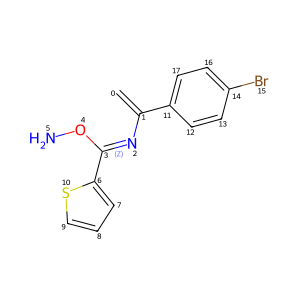 C=C(/N=C(\ON)c1cccs1)c1ccc(Br)cc1